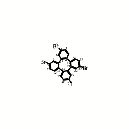 Brc1ccc2c(c1)-c1cc(Br)ccc1-c1ccc(I)cc1-c1cc(Br)ccc1-2